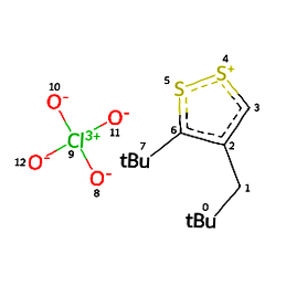 CC(C)(C)Cc1c[s+]sc1C(C)(C)C.[O-][Cl+3]([O-])([O-])[O-]